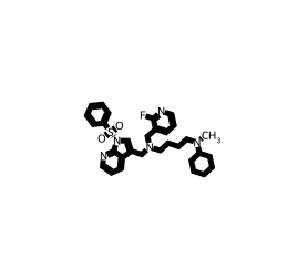 CN(CCCCN(Cc1cccnc1F)Cc1cn(S(=O)(=O)c2ccccc2)c2ncccc12)C1CCCCC1